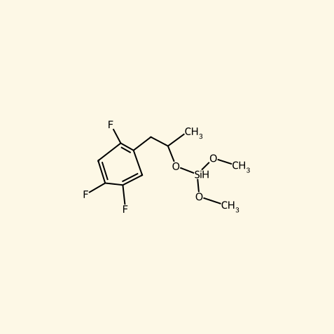 CO[SiH](OC)OC(C)Cc1cc(F)c(F)cc1F